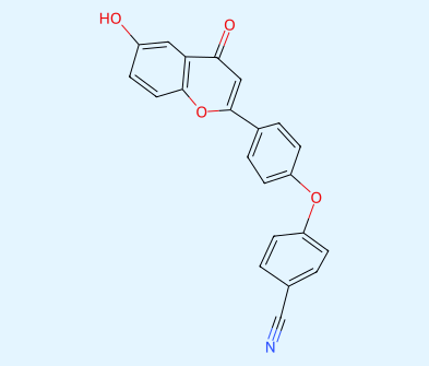 N#Cc1ccc(Oc2ccc(-c3cc(=O)c4cc(O)ccc4o3)cc2)cc1